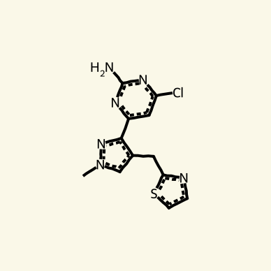 Cn1cc(Cc2nccs2)c(-c2cc(Cl)nc(N)n2)n1